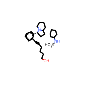 O=S(=O)(O)NC1CCCCC1.OCCCCC#Cc1ccccc1[C@H]1CCC2CCCCN21